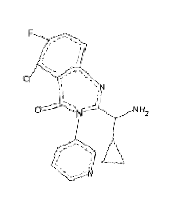 NC(c1nc2ccc(F)c(Cl)c2c(=O)n1-c1cccnc1)C1CC1